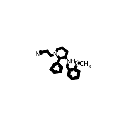 COc1ccccc1CNC1CCCN(CCC#N)C1c1ccccc1